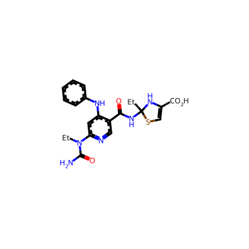 CCN(C(N)=O)c1cc(Nc2ccccc2)c(C(=O)NC2(CC)NC(C(=O)O)=CS2)cn1